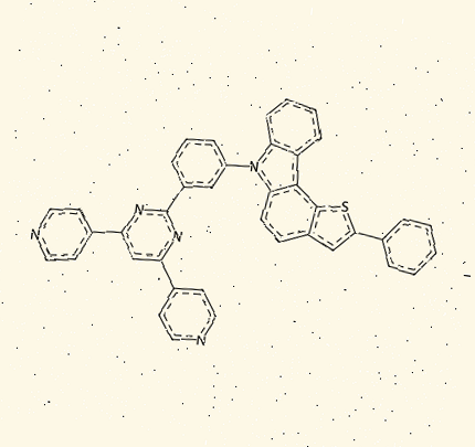 c1ccc(-c2cc3ccc4c(c5ccccc5n4-c4cccc(-c5nc(-c6ccncc6)cc(-c6ccncc6)n5)c4)c3s2)cc1